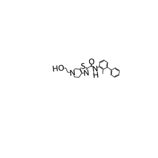 Cc1c(NC(=O)c2nc3c(s2)CN(CCO)CC3)cccc1-c1ccccc1